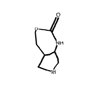 O=C1NC2CNCC2CO1